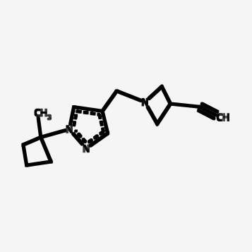 C#CC1CN(Cc2cnn(C3(C)CCC3)c2)C1